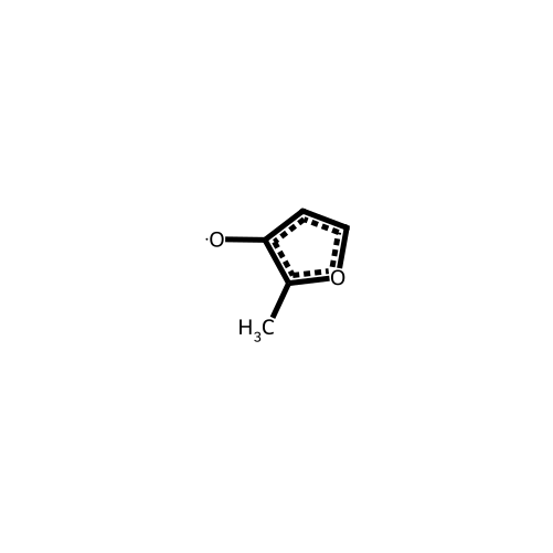 Cc1occc1[O]